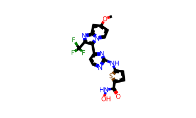 COc1ccn2c(-c3ccnc(Nc4ccc(C(=O)NO)s4)n3)c(C(F)(F)F)nc2c1